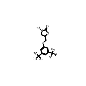 [2H]N1CC(COc2cc(C([2H])([2H])[2H])cc(C([2H])([2H])[2H])c2)OC1=O